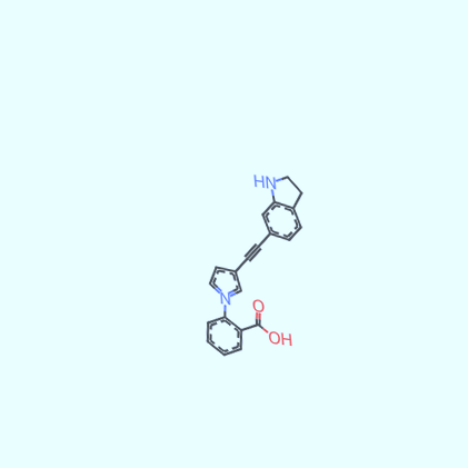 O=C(O)c1ccccc1-n1ccc(C#Cc2ccc3c(c2)NCC3)c1